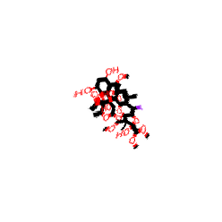 COC[C@@]1(C)C(O)(C(OC)OC)OC2C(I)c3c(C)cc4c(OC)c5c(c(O)c4c3O[C@]21OC1CC(OC(C)=O)C(O)(C(C)=O)C(C)O1)C(=O)[C@@H](O)C[C@@H]5O